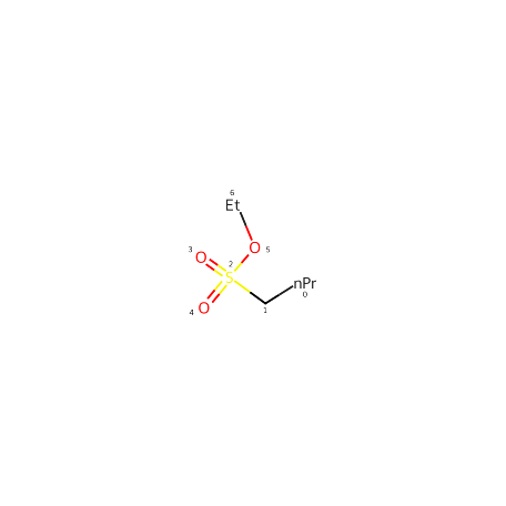 CCCCS(=O)(=O)OCC